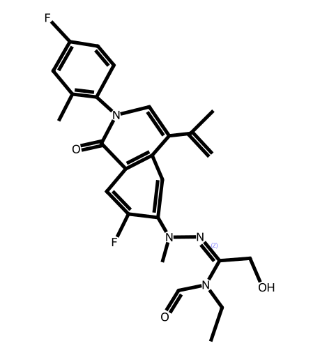 C=C(C)c1cn(-c2ccc(F)cc2C)c(=O)c2cc(F)c(N(C)/N=C(/CO)N(C=O)CC)cc12